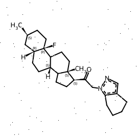 C[C@H]1CC[C@]2(F)C3CC[C@@]4(C)C(CC[C@@H]4C(=O)Cn4ncc5c4CCCC5)[C@@H]3CC[C@@H]2C1